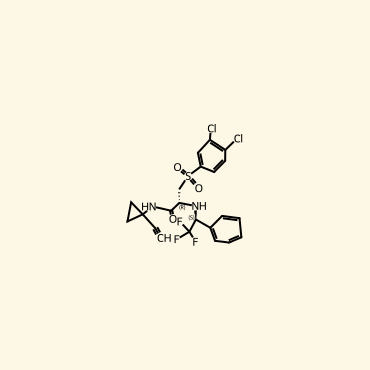 C#CC1(NC(=O)[C@H](CS(=O)(=O)c2ccc(Cl)c(Cl)c2)N[C@@H](c2ccccc2)C(F)(F)F)CC1